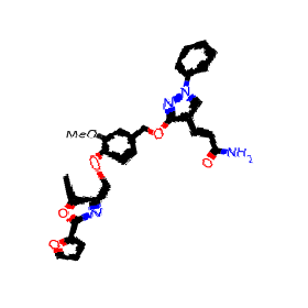 COc1cc(COc2nn(-c3ccccc3)cc2C=CC(N)=O)ccc1OCc1nc(-c2ccco2)oc1C